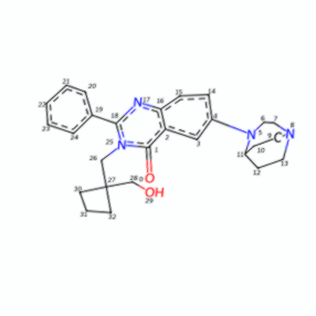 O=c1c2cc(N3CCN4CCC3CC4)ccc2nc(-c2ccccc2)n1CC1(CO)CCC1